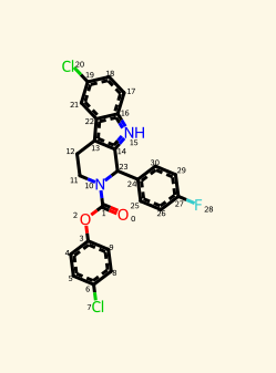 O=C(Oc1ccc(Cl)cc1)N1CCc2c([nH]c3ccc(Cl)cc23)C1c1ccc(F)cc1